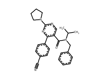 CC(C)N(Cc1ccccc1)C(=O)c1cnc(N2CCCC2)nc1-c1ccc(C#N)cc1